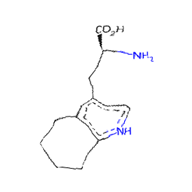 N[C@@H](Cc1c[nH]c2c1CCCC2)C(=O)O